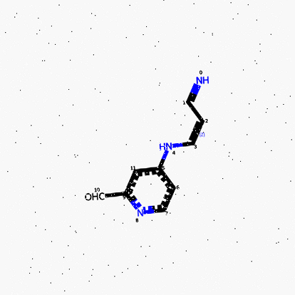 N=C/C=C\Nc1ccnc(C=O)c1